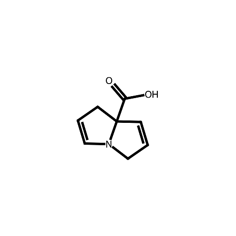 O=C(O)C12C=CCN1C=CC2